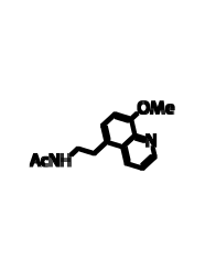 COc1ccc(CCNC(C)=O)c2cccnc12